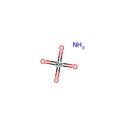 N.[O]=[Re](=[O])(=[O])=[O]